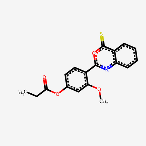 CCC(=O)Oc1ccc(-c2nc3ccccc3c(=S)o2)c(OC)c1